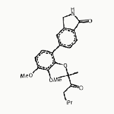 COc1ccc(-c2ccc3c(c2)CNC3=O)c(OC(C)(C)C(=O)CC(C)C)c1OC